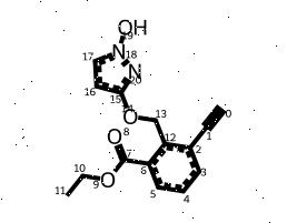 C#Cc1cccc(C(=O)OCC)c1COc1ccn(O)n1